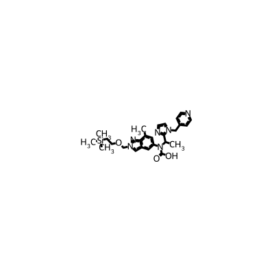 Cc1cc(N(C(=O)O)C(C)c2nccn2Cc2ccncc2)cc2cn(COCC[Si](C)(C)C)nc12